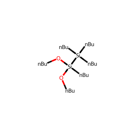 CCCCO[Si](CCCC)(OCCCC)[Si](CCCC)(CCCC)CCCC